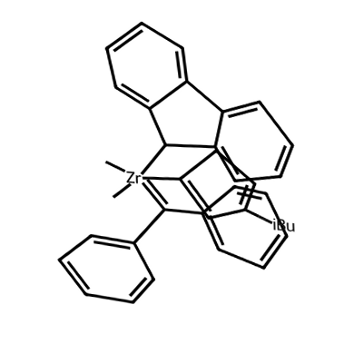 CCC(C)C1=CC[C]([Zr]([CH3])([CH3])(=[C](c2ccccc2)c2ccccc2)[CH]2c3ccccc3-c3ccccc32)=C1